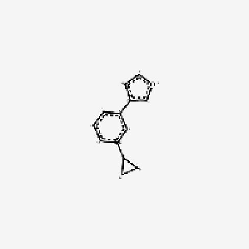 c1cc(-c2ccoc2)cc(C2CC2)c1